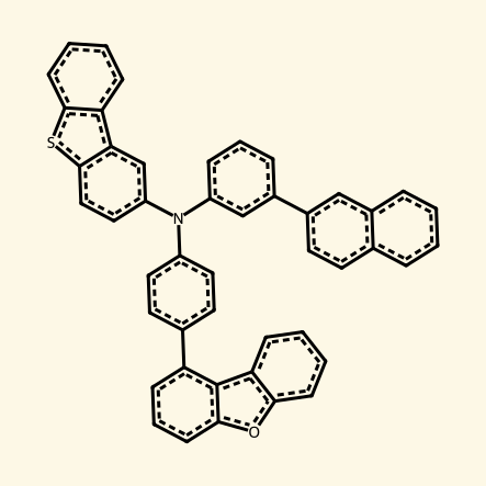 c1cc(-c2ccc3ccccc3c2)cc(N(c2ccc(-c3cccc4oc5ccccc5c34)cc2)c2ccc3sc4ccccc4c3c2)c1